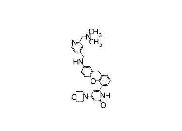 CN(C)Cc1cc(CNc2ccc3c(c2)Cc2cccc(-c4cc(N5CCOCC5)cc(=O)[nH]4)c2O3)ccn1